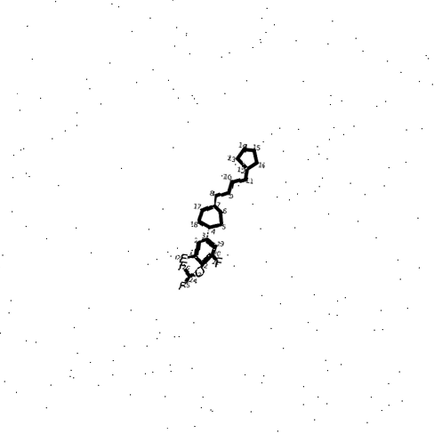 Fc1cc([C@H]2CC[C@H](CCCCC3CCCC3)CC2)cc(F)c1OC(F)F